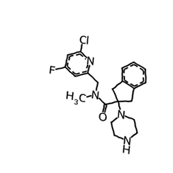 CN(Cc1cc(F)cc(Cl)n1)C(=O)C1(N2CCNCC2)Cc2ccccc2C1